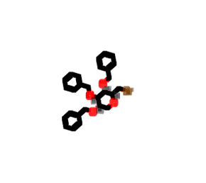 BrC[C@H]1OC[C@H](OCc2ccccc2)[C@@H](OCc2ccccc2)[C@@H]1OCc1ccccc1